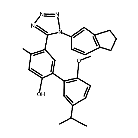 COc1ccc(C(C)C)cc1-c1cc(-c2nnnn2-c2ccc3c(c2)CCC3)c(I)cc1O